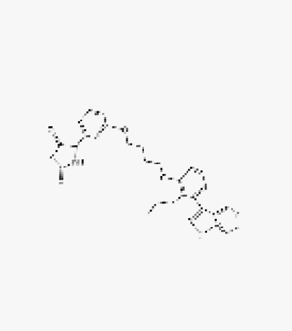 CCCc1c(OCCCCOc2cccc(C3NC(=O)SC3=O)c2)cccc1-c1noc2ccccc12